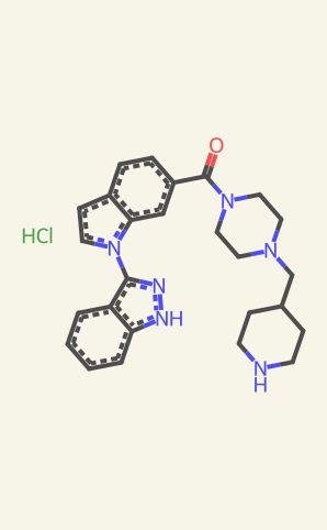 Cl.O=C(c1ccc2ccn(-c3n[nH]c4ccccc34)c2c1)N1CCN(CC2CCNCC2)CC1